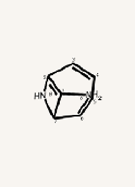 NC1=C2C=CC=CC1N2